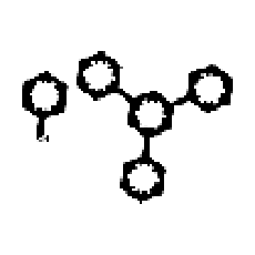 Sc1ccccc1.c1ccc(-c2cc(-c3ccccc3)cc(-c3ccccc3)c2)cc1